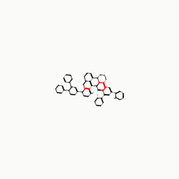 c1ccc(-c2ccc(-c3ccc(N(c4ccccc4-c4cccc5c4sc4ccccc45)c4ccccc4-c4cccc5cccc(C6CCCCC6)c45)cc3)cc2-c2ccccc2)cc1